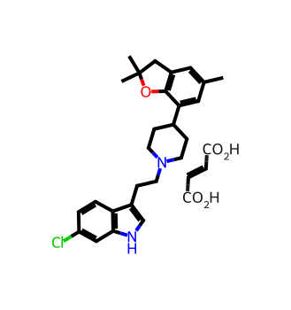 Cc1cc2c(c(C3CCN(CCc4c[nH]c5cc(Cl)ccc45)CC3)c1)OC(C)(C)C2.O=C(O)/C=C/C(=O)O